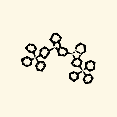 C1=CN2c3cc([Si](c4ccccc4)(c4ccccc4)c4ccccc4)ccc3N(c3ccc4c(c3)c3ccccc3n4-c3ccc([Si](c4ccccc4)(c4ccccc4)c4ccccc4)cc3)N2C=C1